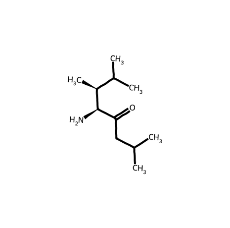 CC(C)CC(=O)[C@@H](N)[C@@H](C)C(C)C